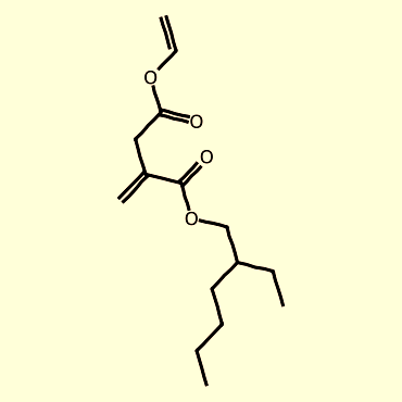 C=COC(=O)CC(=C)C(=O)OCC(CC)CCCC